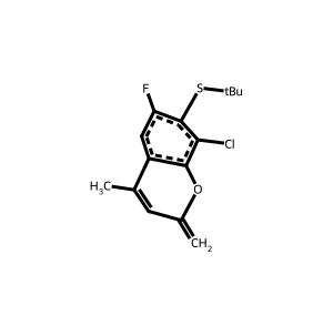 C=C1C=C(C)c2cc(F)c(SC(C)(C)C)c(Cl)c2O1